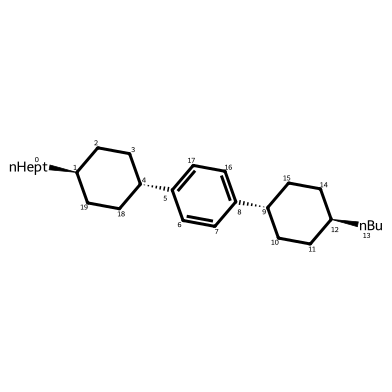 CCCCCCC[C@H]1CC[C@H](c2ccc([C@H]3CC[C@H](CCCC)CC3)cc2)CC1